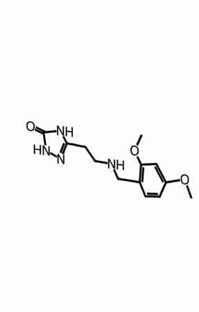 COc1ccc(CNCCc2n[nH]c(=O)[nH]2)c(OC)c1